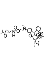 C=C(C)C(=O)OCCNC(=O)OCCN(CC)c1ccc2c(-c3ccccc3S(=O)(=O)O)c3ccc(=[N+](CC)CC)cc-3oc2c1